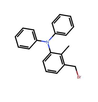 Cc1c(CBr)cccc1N(c1ccccc1)c1ccccc1